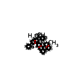 CC1C=C(N(c2cccc(-c3cccc4c3sc3ccccc34)c2)c2cccc3c2-c2ccccc2C3(C)C)C(c2cccc3cccc(-c4ccccc4)c23)=CC1